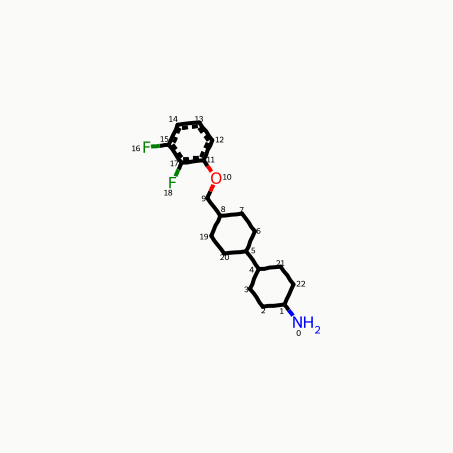 NC1CCC(C2CCC(COc3cccc(F)c3F)CC2)CC1